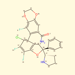 NC(=O)c1cc2c(c(F)c1-c1c(Cl)c(F)c(F)c3c1C[C@](c1ccccc1)([C@@H]1CCCN1)O3)OCCO2